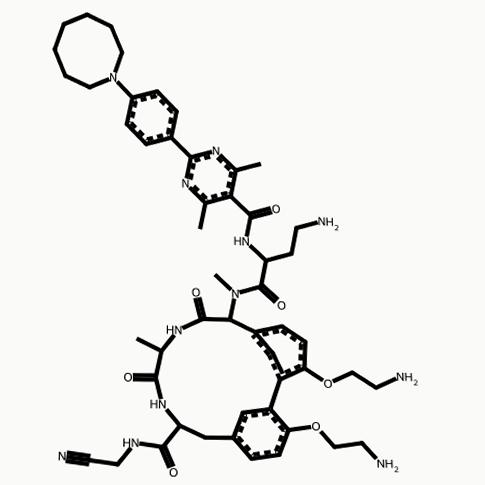 Cc1nc(-c2ccc(N3CCCCCCC3)cc2)nc(C)c1C(=O)NC(CCN)C(=O)N(C)C1C(=O)NC(C)C(=O)NC(C(=O)NCC#N)Cc2ccc(OCCN)c(c2)-c2cc1ccc2OCCN